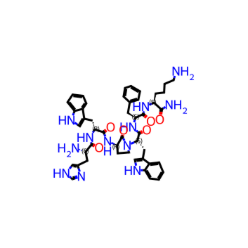 NCCCC[C@H](NC(=O)[C@H](Cc1ccccc1)NC(=O)[C@H](Cc1c[nH]c2ccccc12)N1CC[C@@H](NC(=O)[C@@H](Cc2c[nH]c3ccccc23)NC(=O)[C@@H](N)Cc2c[nH]cn2)C1=O)C(N)=O